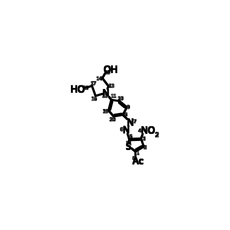 CC(=O)c1cc([N+](=O)[O-])c(N=Nc2ccc(N(CCO)CCO)cc2)s1